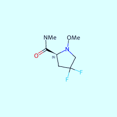 CNC(=O)[C@@H]1CC(F)(F)CN1OC